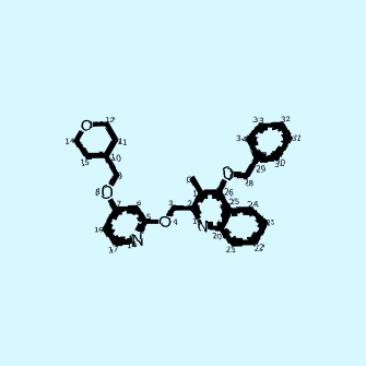 Cc1c(COc2cc(OCC3CCOCC3)ccn2)nc2ccccc2c1OCc1ccccc1